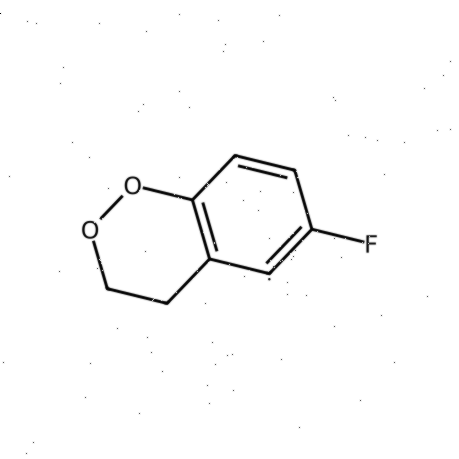 Fc1[c]c2c(cc1)OOCC2